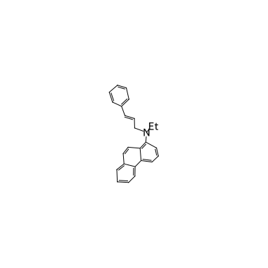 CCN(CC=Cc1ccccc1)c1cccc2c1ccc1ccccc12